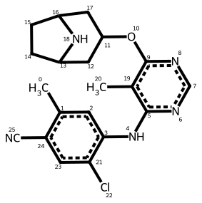 Cc1cc(Nc2ncnc(OC3CC4CCC(C3)N4)c2C)c(Cl)cc1C#N